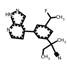 CCC(C)(C#N)c1cc(-c2ccnc3[nH]ncc23)cc(C(C)F)c1